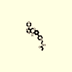 C=CC(=O)NCCN1CCC(c2ccc3c(c2)Nc2ncnc(N4CCOCC4)c2CO3)CC1